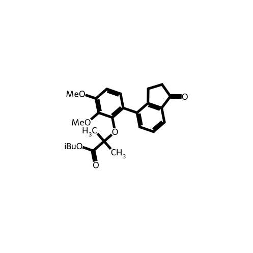 COc1ccc(-c2cccc3c2CCC3=O)c(OC(C)(C)C(=O)OCC(C)C)c1OC